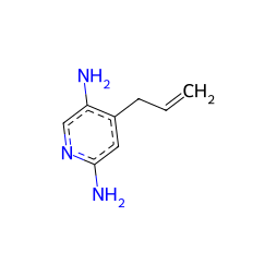 C=CCc1cc(N)ncc1N